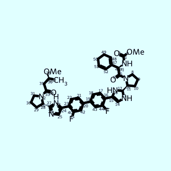 COC(=O)N[C@@H](C(=O)N1CCC[C@H]1C1NC=C(c2ccc(-c3ccc(-c4cnc([C@@H]5CCCN5C(=O)C[C@H](C)OC)[nH]4)c(F)c3)cc2F)N1)C1=CCCC=C1